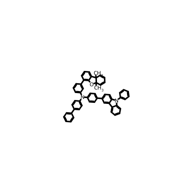 CC12C=CC=CC1(C)c1cccc(-c3cccc(N(c4ccc(-c5ccccc5)cc4)c4ccc(-c5ccc6c(c5)c5ccccc5n6-c5ccccc5)cc4)c3)c1O2